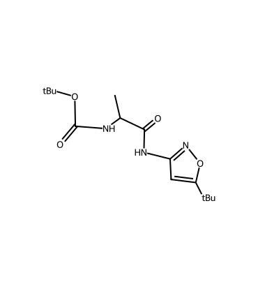 CC(NC(=O)OC(C)(C)C)C(=O)Nc1cc(C(C)(C)C)on1